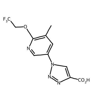 Cc1cc(-n2cc(C(=O)O)nn2)cnc1OCC(F)(F)F